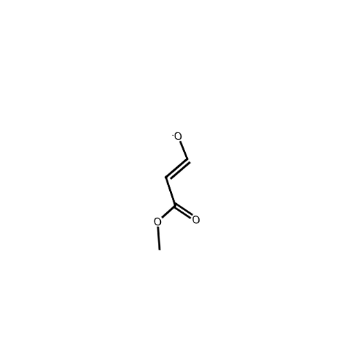 COC(=O)C=C[O]